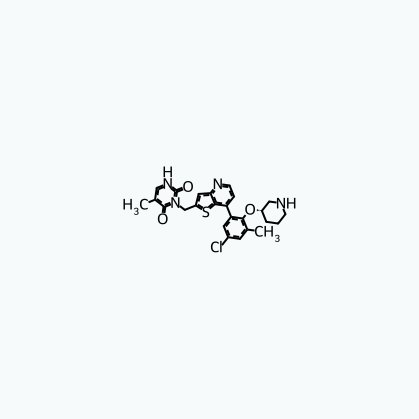 Cc1cc(Cl)cc(-c2ccnc3cc(Cn4c(=O)[nH]cc(C)c4=O)sc23)c1O[C@H]1CCCNC1